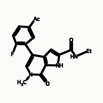 CCNC(=O)c1cc2c(-c3cc(C(C)=O)ccc3F)cn(C)c(=O)c2[nH]1